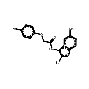 CCc1nc2cnc(N)cn2c1NC(=O)COc1ccc(C(C)C)cc1